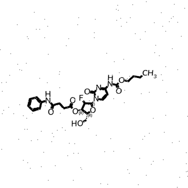 CCCCOC(=O)Nc1ccn([C@@H]2O[C@H](CO)[C@@H](OC(=O)CCC(=O)Nc3ccccc3)C2F)c(=O)n1